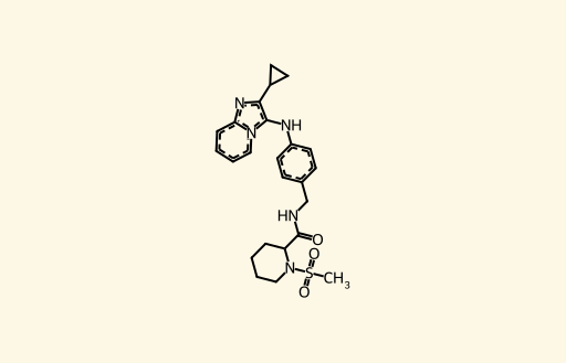 CS(=O)(=O)N1CCCCC1C(=O)NCc1ccc(Nc2c(C3CC3)nc3ccccn23)cc1